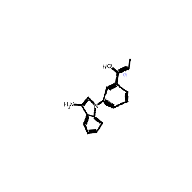 C/C=C(\O)c1cccc(-n2cc(N)c3ccccc32)c1